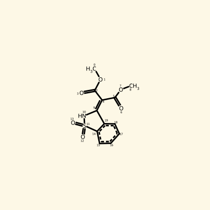 COC(=O)C(C(=O)OC)=C1NS(=O)(=O)c2ccccc21